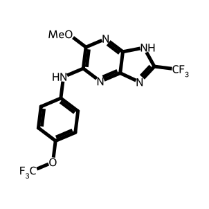 COc1nc2[nH]c(C(F)(F)F)nc2nc1Nc1ccc(OC(F)(F)F)cc1